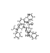 CC(C)N(C(=O)CN1C(=O)C(Cc2n[nH]c3ccccc23)C(=O)N(c2cccnc2)c2ccccc21)c1ccccc1